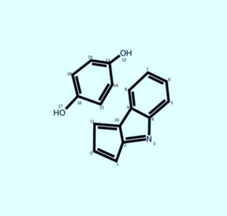 C1=CC2=Nc3ccccc3C2=C1.Oc1ccc(O)cc1